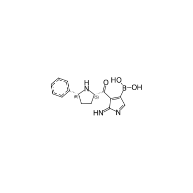 N=C1N=CC(B(O)O)=C1C(=O)[C@@H]1CC[C@H](c2ccccc2)N1